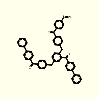 O=C(c1ccc(Cc2ccc(Cc3ccc(C(=O)c4ccc(-c5ccccc5)cc4)cc3)cc2C(=O)c2ccc(-c3ccccc3)cc2)cc1)c1ccc(N=P)cc1